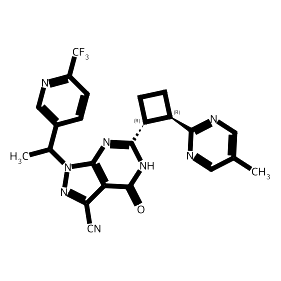 Cc1cnc([C@@H]2CC[C@H]2c2nc3c(c(C#N)nn3C(C)c3ccc(C(F)(F)F)nc3)c(=O)[nH]2)nc1